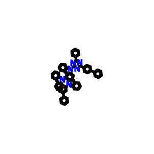 c1ccc(-c2ccc(-c3nc(-c4ccccc4)nc(-n4c5ccccc5c5c(-n6c7ccccc7c7ccccc76)c6c(cc54)c4ccccc4n6-c4cccc(-c5ccccc5)c4)n3)cc2)cc1